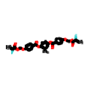 C=C(F)C(=O)OCOc1ccc(C(=O)Oc2ccc(OC(=O)c3ccc(OCOC(=O)C(=C)F)cc3)c(C)c2)cc1